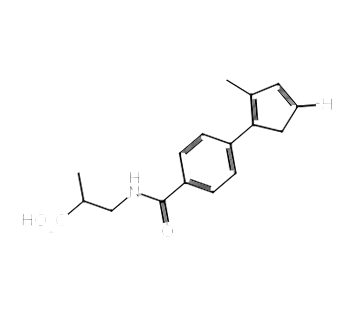 [2H]C1=CC(C)=C(c2ccc(C(=O)NCC(C)C(=O)O)cc2)C1